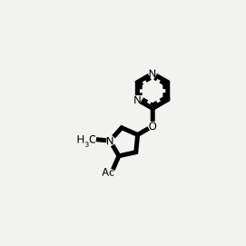 CC(=O)C1CC(Oc2ccncn2)CN1C